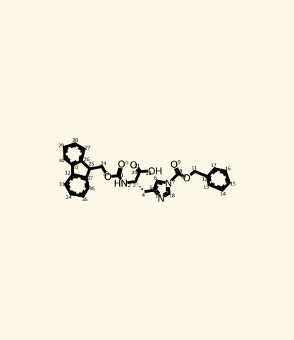 O=C(N[C@@H](Cc1cn(C(=O)OCc2ccccc2)cn1)C(=O)O)OCC1c2ccccc2-c2ccccc21